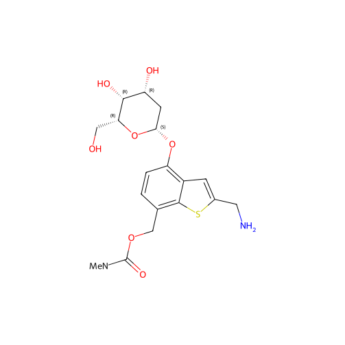 CNC(=O)OCc1ccc(O[C@H]2C[C@@H](O)[C@@H](O)[C@@H](CO)O2)c2cc(CN)sc12